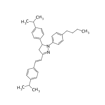 CCCCc1ccc(N2N=C(C=Cc3ccc(C(C)C)cc3)CC2c2ccc(C(C)C)cc2)cc1